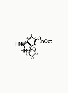 CCCCCCCCOc1ccc2c(c1)C1(NC2=N)OCCO1